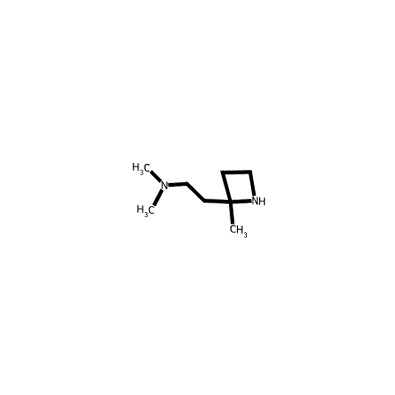 CN(C)CCC1(C)CCN1